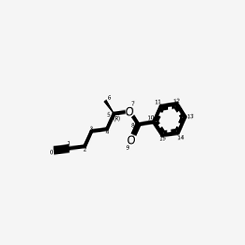 C#CCCC[C@@H](C)OC(=O)c1ccccc1